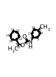 Cc1ccc(NC(=O)OC(C)c2ccccc2)cc1